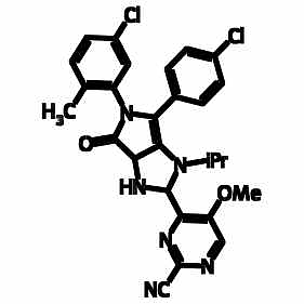 COc1cnc(C#N)nc1C1NC2C(=O)N(c3cc(Cl)ccc3C)C(c3ccc(Cl)cc3)=C2N1C(C)C